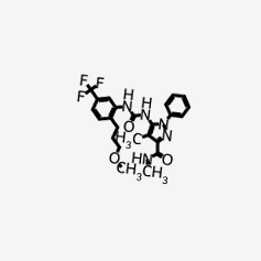 CNC(=O)c1nn(-c2ccccc2)c(NC(=O)Nc2cc(C(F)(F)F)ccc2CCCOC)c1C